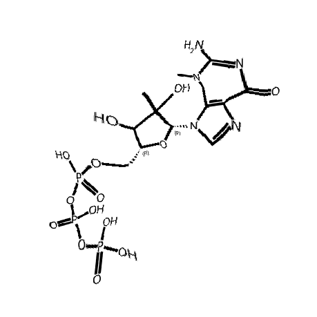 Cn1c(N)nc(=O)c2ncn([C@@H]3O[C@H](COP(=O)(O)OP(=O)(O)OP(=O)(O)O)C(O)C3(C)O)c21